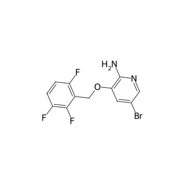 Nc1ncc(Br)cc1OCc1c(F)ccc(F)c1F